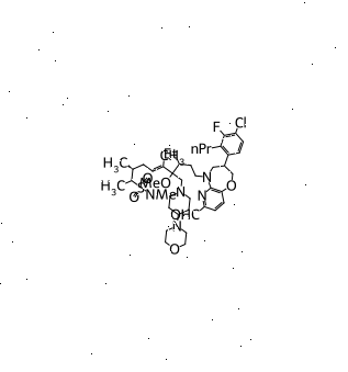 CCCc1c(C2COc3ccc(C=O)nc3N(CCC(CC)C(CN3CCC(N4CCOCC4)CC3)(OC)/C(C)=C/C[C@H](C)C(C)S(=O)(=O)NC)C2)ccc(Cl)c1F